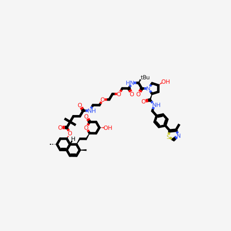 Cc1ncsc1-c1ccc(CNC(=O)[C@@H]2C[C@@H](O)CN2C(=O)[C@@H](NC(=O)COCCOCCNC(=O)CCC(C)(C)C(=O)O[C@H]2C[C@@H](C)C=C3C=C[C@H](C)[C@H](CC[C@@H]4C[C@@H](O)CC(=O)O4)[C@H]32)C(C)(C)C)cc1